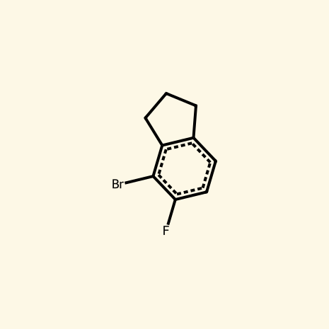 Fc1ccc2c(c1Br)CCC2